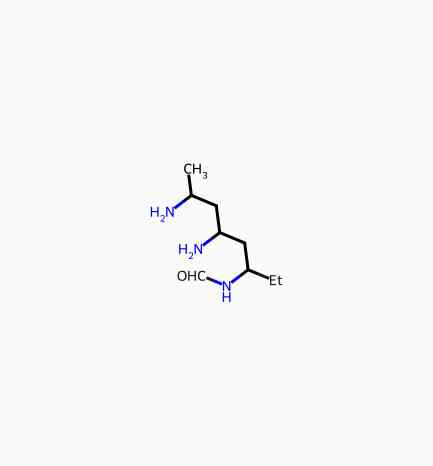 CCC(CC(N)CC(C)N)NC=O